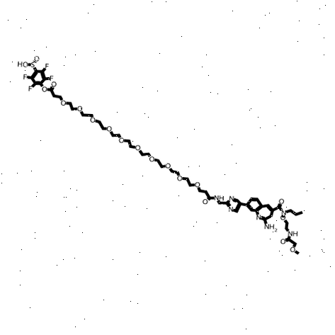 CCCN(OCCNC(=O)COC)C(=O)C1=Cc2ccc(-c3cnc(CNC(=O)CCOCCOCCOCCOCCOCCOCCOCCOCCOCCOCCC(=O)Oc4c(F)c(F)c(S(=O)O)c(F)c4F)nc3)cc2N=C(N)C1